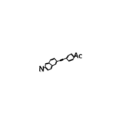 CC(=O)c1ccc(C#Cc2ccc3cc(N(C)C)ccc3c2)cc1